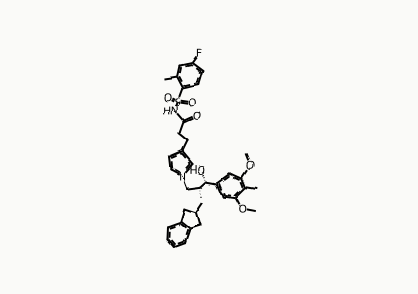 COc1cc([C@@H](O)[C@H](CC2Cc3ccccc3C2)Cn2ccc(CCC(=O)NS(=O)(=O)c3ccc(F)cc3C)c2)cc(OC)c1C